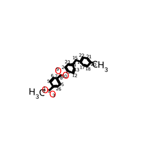 COC(=O)c1ccc(C(=O)Oc2ccc(Cc3ccc(C)cc3)cc2)cc1